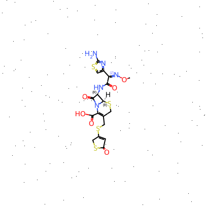 CO/N=C(\C(=O)N[C@@H]1C(=O)N2C(C(=O)O)=C(CSC3=CC(=O)SC3)CS[C@H]12)c1csc(N)n1